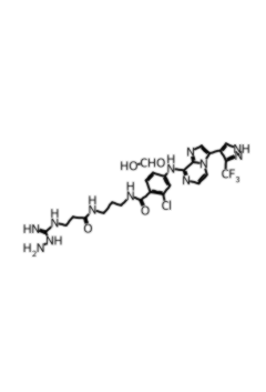 N=C(NN)NCCC(=O)NCCCNC(=O)c1ccc(Nc2nccn3c(-c4c[nH]nc4C(F)(F)F)cnc23)cc1Cl.O=CO